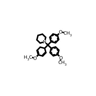 COC1=CCC(C(c2ccc(OC)cc2)(c2ccc(OC)cc2)N2CCCCC2)C=C1